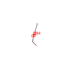 CCCCCCCC/C=C\CCCCCCCC(=O)OCCOC(O)CCCCCCCCCCCCCCC